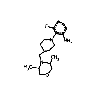 CC1COCC(C)N1CC1CCN(c2c(N)cccc2F)CC1